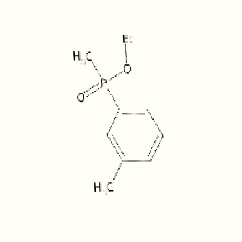 CCOP(C)(=O)c1cccc(C)c1